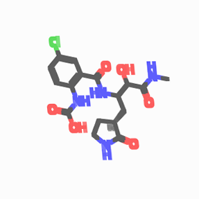 CNC(=O)C(O)C(C[C@@H]1CCNC1=O)NC(=O)c1cc(Cl)ccc1NC(=O)O